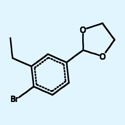 CCc1cc(C2OCCO2)ccc1Br